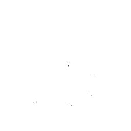 COCc1nc(C)ncc1O[C@@]1(C2C=CC=C(F)C2)CC1O